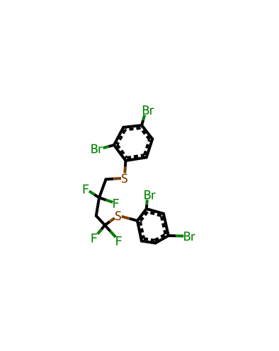 FC(F)(CSc1ccc(Br)cc1Br)CC(F)(F)Sc1ccc(Br)cc1Br